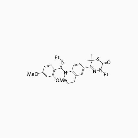 CCN=C(c1ccc(OC)cc1OC)N1CCCc2cc(C3=NN(CC)C(=O)SC3(C)C)ccc21